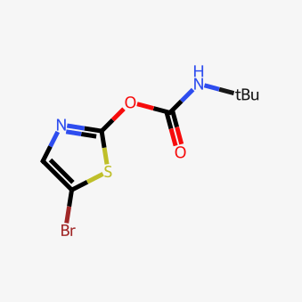 CC(C)(C)NC(=O)Oc1ncc(Br)s1